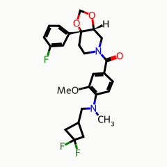 COc1cc(C(=O)N2CC[C@]3(c4cccc(F)c4)OCO[C@@H]3C2)ccc1N(C)CC1CC(F)(F)C1